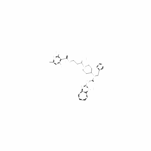 Cc1cc(Cl)nc(C)c1C(=O)NCCC(C)N1CCC(N(Cc2ccsc2)C(=O)Nc2nc3ccccc3[nH]2)CC1